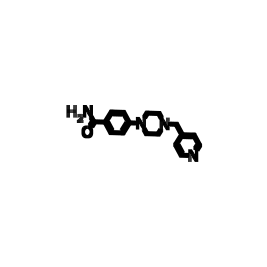 NC(=O)c1ccc(N2CCN(Cc3ccncc3)CC2)cc1